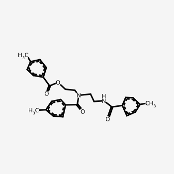 Cc1ccc(C(=O)NCCN(CCOC(=O)c2ccc(C)cc2)C(=O)c2ccc(C)cc2)cc1